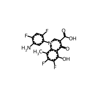 Cc1c(F)c(F)c(O)c2c(=O)c(C(=O)O)cn(-c3cc(N)c(F)cc3F)c12